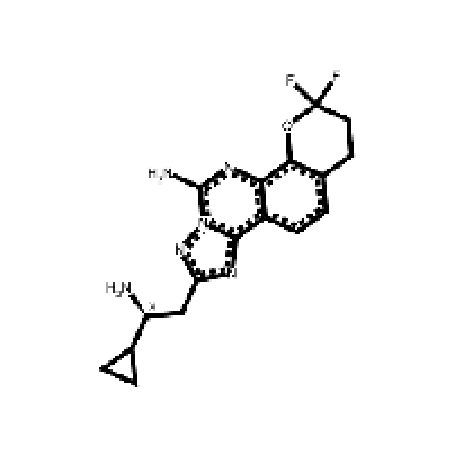 Nc1nc2c3c(ccc2c2nc(C[C@H](N)C4CC4)nn12)CCC(F)(F)O3